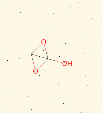 OC12OC1O2